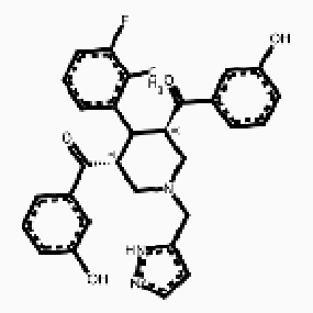 Cc1c(F)cccc1C1[C@@H](C(=O)c2cccc(O)c2)CN(Cc2ccn[nH]2)C[C@@H]1C(=O)c1cccc(O)c1